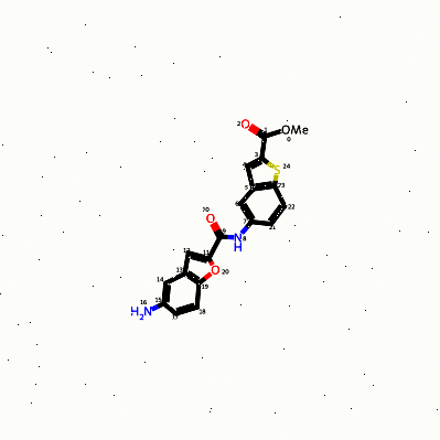 COC(=O)c1cc2cc(NC(=O)c3cc4cc(N)ccc4o3)ccc2s1